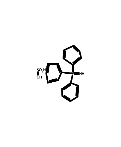 N=P(c1ccccc1)(c1ccccc1)c1ccccc1.O=S(=O)(O)O